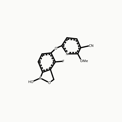 COc1nc(Oc2ccc3c(c2F)COB3O)ccc1C#N